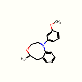 COc1cccc(N2CCOC(C)Cc3ccccc32)c1